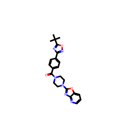 CC(C)(C)c1nc(-c2ccc(C(=O)N3CCN(c4nc5ncccc5o4)CC3)cc2)no1